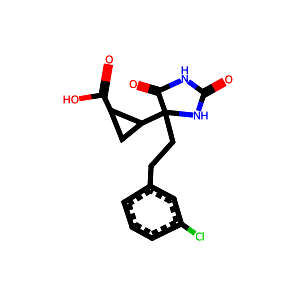 O=C1NC(=O)C(CCc2cccc(Cl)c2)(C2CC2C(=O)O)N1